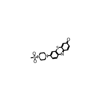 CS(=O)(=O)N1CCN(c2ccc3nc4ccc(=O)cc-4sc3c2)CC1